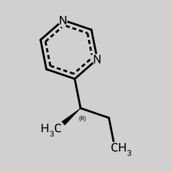 CC[C@@H](C)c1ccncn1